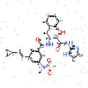 CN(c1cc(C=CC2CC2)cc(C(=O)NC(Cc2ccccc2)C(O)C(=O)Nc2ncc[nH]2)c1)S(C)(=O)=O